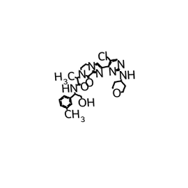 Cc1cccc(C(CO)NC(=O)C(C)N2CCn3cc(-c4nc(NC5CCOCC5)ncc4Cl)nc3C2=O)c1